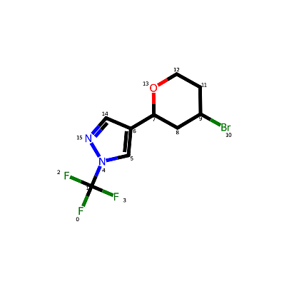 FC(F)(F)n1cc(C2CC(Br)CCO2)cn1